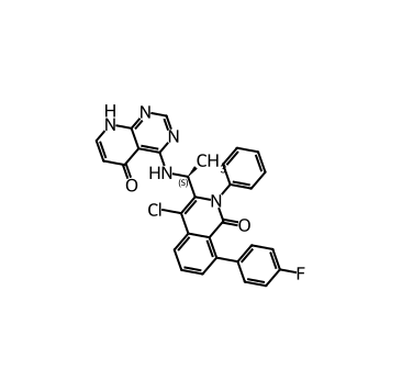 C[C@H](Nc1ncnc2[nH]ccc(=O)c12)c1c(Cl)c2cccc(-c3ccc(F)cc3)c2c(=O)n1-c1ccccc1